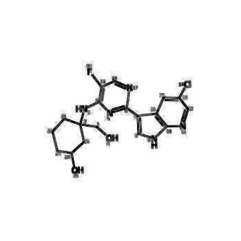 OCC1(Nc2nc(-c3c[nH]c4ncc(Cl)cc34)ncc2F)CCCC(O)C1